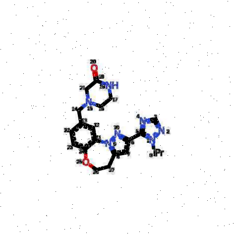 CC(C)n1ncnc1-c1cc2n(n1)-c1cc(CN3CCNC(=O)C3)ccc1OCC2